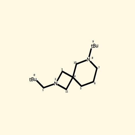 CC(C)(C)CN1CC2(CCCN(C(C)(C)C)C2)C1